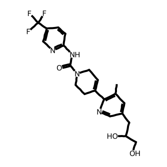 Cc1cc(CC(O)CO)cnc1C1=CCN(C(=O)Nc2ccc(C(F)(F)F)cn2)CC1